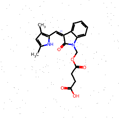 Cc1cc(C)c(/C=C2\C(=O)N(COC(=O)CCC(=O)O)c3ccccc32)[nH]1